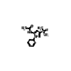 CP(C)(=O)c1cc(NC(N)=O)n(-c2ccccc2)n1